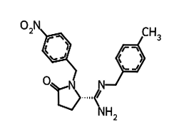 Cc1ccc(CN=C(N)[C@@H]2CCC(=O)N2Cc2ccc([N+](=O)[O-])cc2)cc1